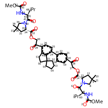 COC(=O)N[C@H](C(=O)N1CC(C)(C)C[C@H]1C(=O)OCC(=O)c1ccc(-c2ccc(C(=O)COC(=O)[C@@H]3CC(C)(C)CN3C(=O)[C@@H](NC(=O)OC)C(C)C)c3c2C2(CCCC2)CC3)cc1)C(C)C